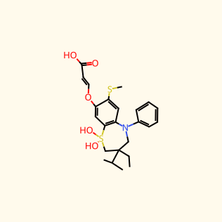 CCC1(C(C)C)CN(c2ccccc2)c2cc(SC)c(O/C=C/C(=O)O)cc2S(O)(O)C1